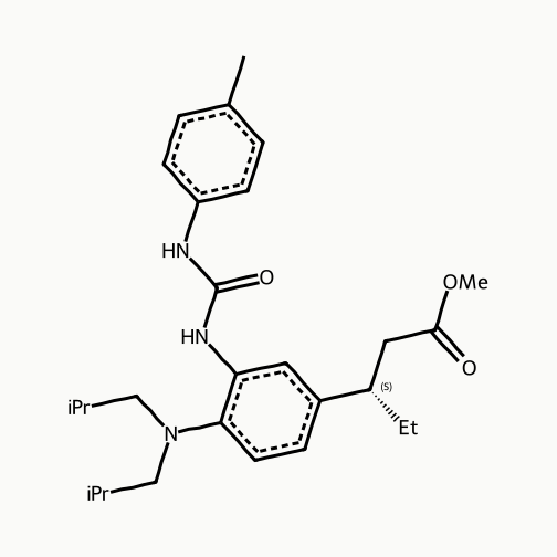 CC[C@@H](CC(=O)OC)c1ccc(N(CC(C)C)CC(C)C)c(NC(=O)Nc2ccc(C)cc2)c1